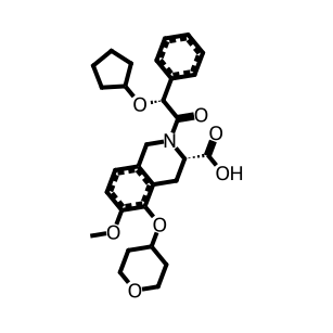 COc1ccc2c(c1OC1CCOCC1)C[C@@H](C(=O)O)N(C(=O)[C@H](OC1CCCC1)c1ccccc1)C2